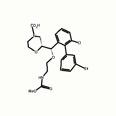 CCc1cccc(-c2c(Cl)cccc2[C@H](OCCNC(=O)OC)[C@H]2CN(C(=O)O)CCO2)c1